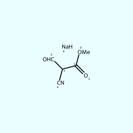 COC(=O)C(C#N)C=O.[NaH]